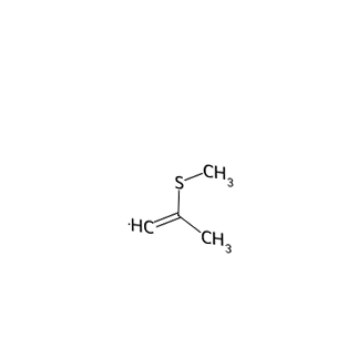 [CH]=C(C)SC